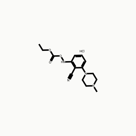 CCOC(=O)ONc1cccc(N2CCN(C)CC2)c1C#N.Cl